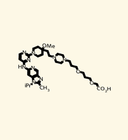 COC1(CCN2CCN(CCCOCCCOCC(=O)O)CC2)CCN(c2nccc(Nc3cc4c(cn3)nc(C)n4C(C)C)n2)CC1